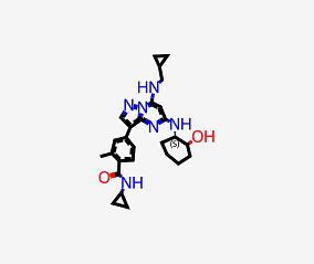 Cc1cc(-c2cnn3c(NCC4CC4)cc(N[C@H]4CCCCC4O)nc23)ccc1C(=O)NC1CC1